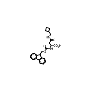 O=C(C[C@H](NC(=O)OCC1c2ccccc2-c2ccccc21)C(=O)O)NCC1CCC1